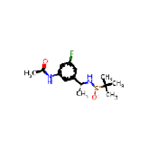 CC(=O)Nc1cc(F)cc([C@@H](C)N[S@+]([O-])C(C)(C)C)c1